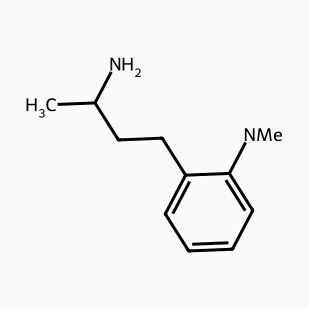 CNc1ccccc1CCC(C)N